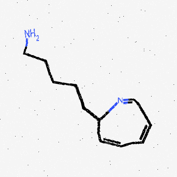 NCCCCCC1C=CC=CC=N1